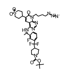 C[C@@H](Nc1ncnc2c1cc(C1CCS(=O)(=O)CC1)c(=O)n2CCCCN=[N+]=[N-])c1cccc(C(F)(F)C2CCN(C(=O)OC(C)(C)C)CC2)c1F